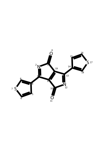 O=c1nc(-c2ccsc2)c2c(=O)nc(-c3ccsc3)c1=2